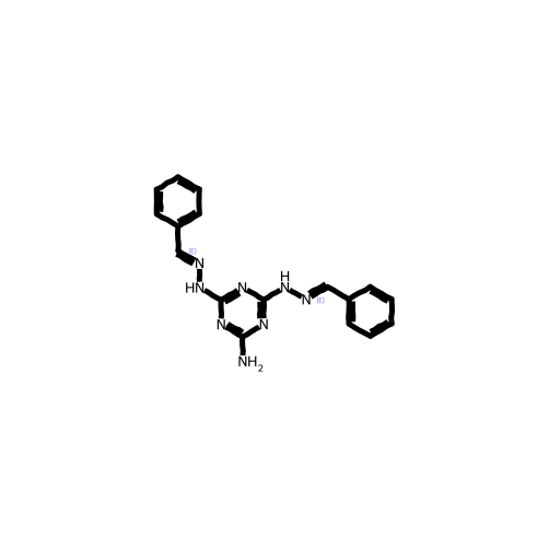 Nc1nc(N/N=C/c2ccccc2)nc(N/N=C/c2ccccc2)n1